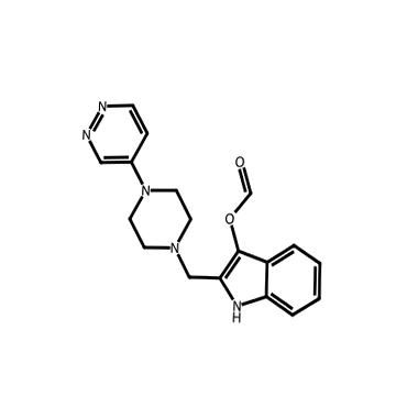 O=COc1c(CN2CCN(c3ccnnc3)CC2)[nH]c2ccccc12